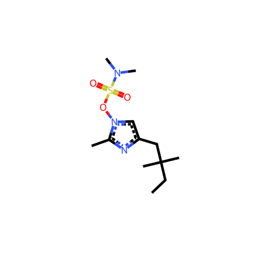 CCC(C)(C)Cc1cn(OS(=O)(=O)N(C)C)c(C)n1